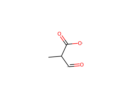 CC([C]=O)C([O])=O